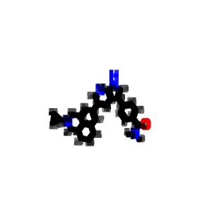 CN(C)C(=O)c1ccc(-c2c[nH]c3ncc(-c4cc5c6c(c4)CN(C4CC4)CC6CCC5)cc23)cc1